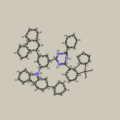 CC1(C)c2ccccc2-c2c(-c3nc(-c4ccccc4)nc(-c4cc(-c5cc6ccccc6c6ccccc56)cc(-n5c6ccccc6c6ccc(-c7ccccc7)cc65)c4)n3)cccc21